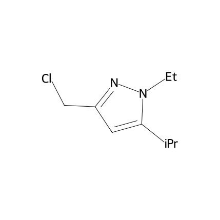 CCn1nc(CCl)cc1C(C)C